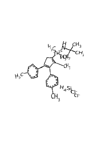 CC1=[C]([Ti+2]([CH3])([CH3])[NH]C(C)(C)C)CC(c2ccc(C)cc2)=C1c1ccc(C)cc1.[Cl-].[Cl-].[SiH4]